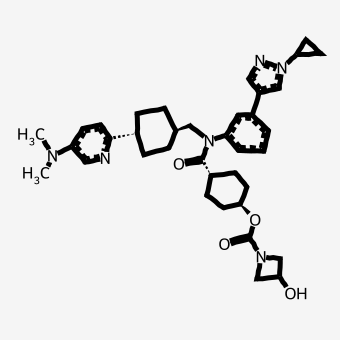 CN(C)c1ccc([C@H]2CC[C@H](CN(c3cccc(-c4cnn(C5CC5)c4)c3)C(=O)[C@H]3CC[C@H](OC(=O)N4CC(O)C4)CC3)CC2)nc1